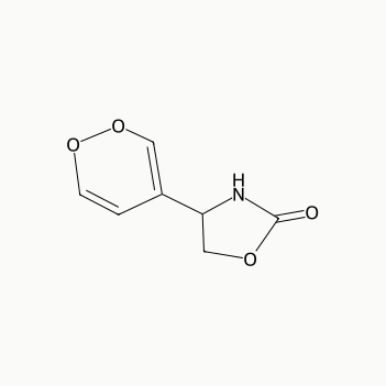 O=C1NC(C2=COOC=C2)CO1